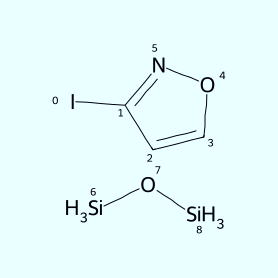 Ic1ccon1.[SiH3]O[SiH3]